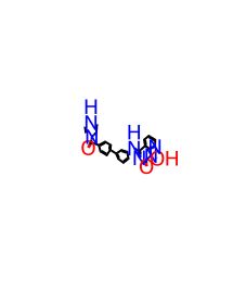 O=C(c1ccc(-c2cccc(Nc3nc(=O)n(O)c4ncccc34)c2)cc1)N1CCNCC1